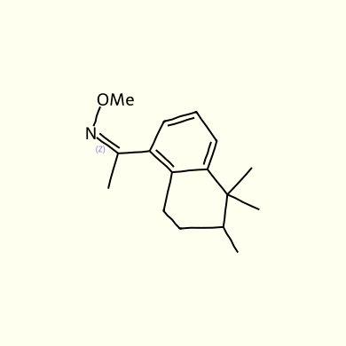 CO/N=C(/C)c1cccc2c1CCC(C)C2(C)C